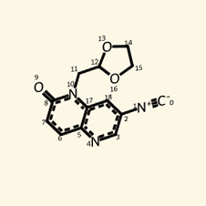 [C-]#[N+]c1cnc2ccc(=O)n(CC3OCCO3)c2c1